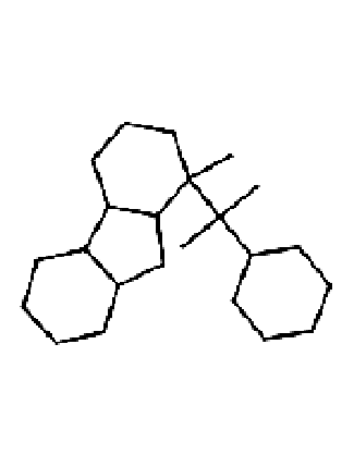 CC(C)(C1CCCCC1)C1(C)CCCC2C3CCCCC3CC21